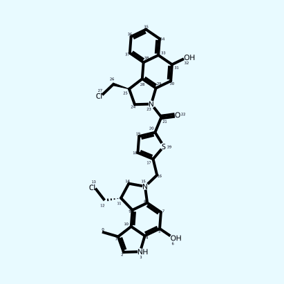 Cc1c[nH]c2c(O)cc3c(c12)[C@H](CCl)CN3Cc1ccc(C(=O)N2C[C@@H](CCl)c3c2cc(O)c2ccccc32)s1